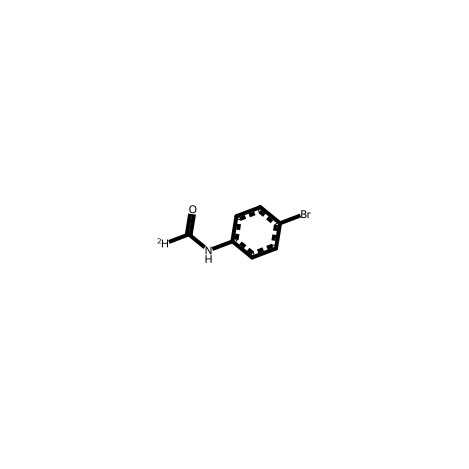 [2H]C(=O)Nc1ccc(Br)cc1